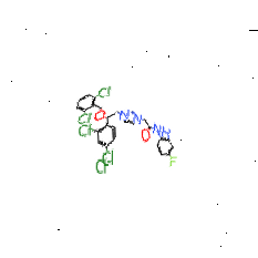 O=C(Cn1cc[n+](CC(OCc2c(Cl)cccc2Cl)c2ccc(Cl)cc2Cl)c1)Nc1ccc(F)cc1.[Cl-]